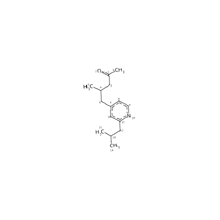 CC(=O)CC(C)Cc1ccnc(CC(C)C)c1